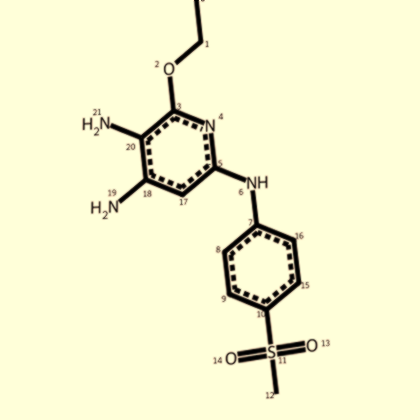 CCOc1nc(Nc2ccc(S(C)(=O)=O)cc2)cc(N)c1N